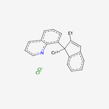 CCC1=Cc2ccccc2[C]1([Cr+2])c1cccc2cccnc12.[Cl-].[Cl-]